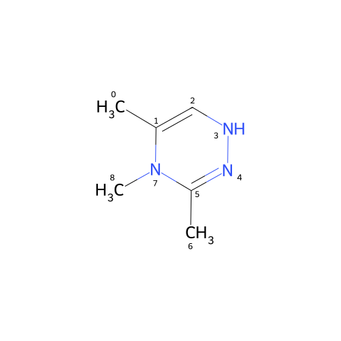 CC1=CNN=C(C)N1C